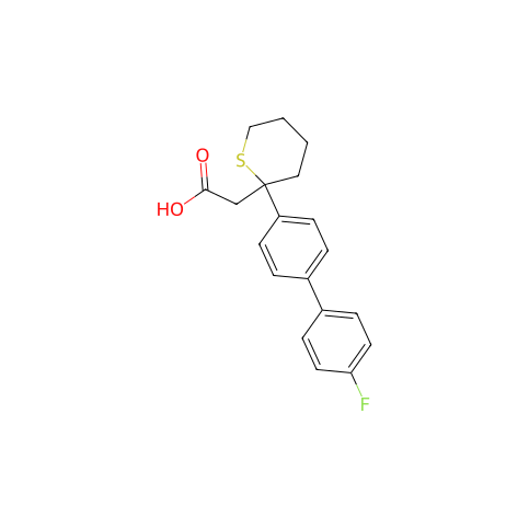 O=C(O)CC1(c2ccc(-c3ccc(F)cc3)cc2)CCCCS1